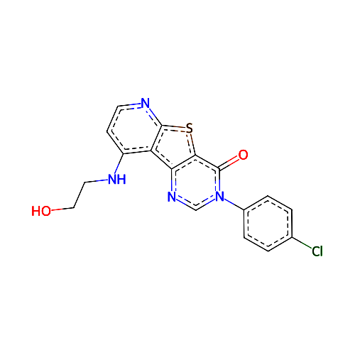 O=c1c2sc3nccc(NCCO)c3c2ncn1-c1ccc(Cl)cc1